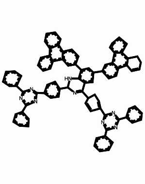 C1=Cc2c(c3ccccc3c3cc(-c4cc5c(c(-c6ccc7c8ccccc8c8ccccc8c7c6)c4)NC(c4ccc(-c6nc(-c7ccccc7)nc(-c7ccccc7)n6)cc4)N=C5C4C=CC(c5nc(-c6ccccc6)nc(-c6ccccc6)n5)=CC4)ccc23)CC1